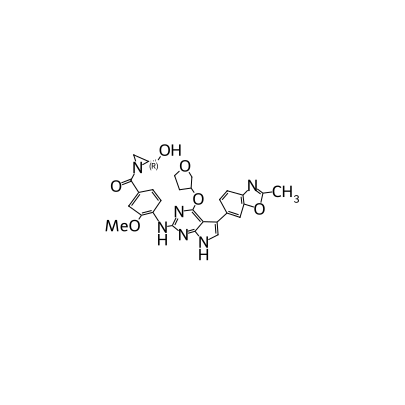 COc1cc(C(=O)N2C[C@@H]2CO)ccc1Nc1nc(OC2CCOC2)c2c(-c3ccc4nc(C)oc4c3)c[nH]c2n1